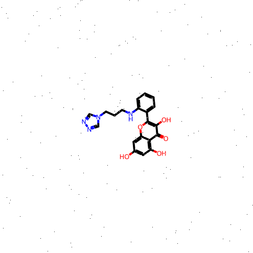 O=c1c(O)c(-c2ccccc2NCCCn2cnnc2)oc2cc(O)cc(O)c12